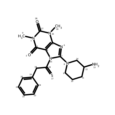 Cn1c(=O)c2c(nc(N3CCCC(N)C3)n2C(=S)Cc2ccccc2)n(C)c1=O